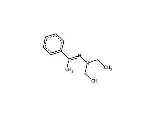 CCN(CC)N=C(C)c1cc[c]cc1